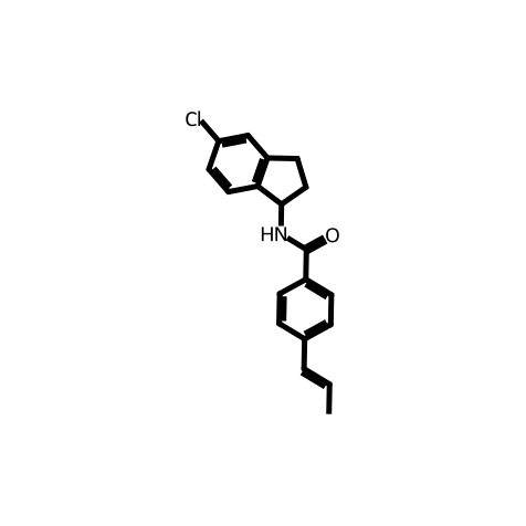 C/C=C/c1ccc(C(=O)NC2CCc3cc(Cl)ccc32)cc1